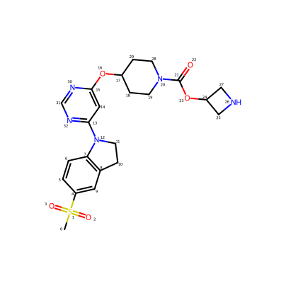 CS(=O)(=O)c1ccc2c(c1)CCN2c1cc(OC2CCN(C(=O)OC3CNC3)CC2)ncn1